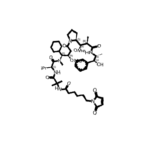 CO[C@H]([C@@H](C)C(=O)N[C@H](C)[C@@H](O)c1ccccc1)[C@@H]1CCCN1C(=O)C[C@@H](OC)[C@H](C1CCCCC1)N(C)C(=O)[C@@H](NC(=O)C(C)(C)NC(=O)CCCCCN1C(=O)C=CC1=O)C(C)C